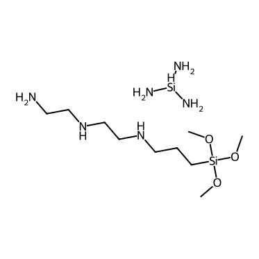 CO[Si](CCCNCCNCCN)(OC)OC.N[SiH](N)N